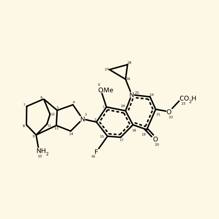 COc1c(N2CC3C4CCC(N)(CC4)C3C2)c(F)cc2c(=O)c(OC(=O)O)cn(C3CC3)c12